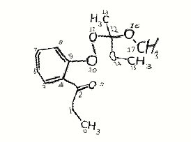 CCC(=O)c1ccccc1OOC(C)(OC)OC